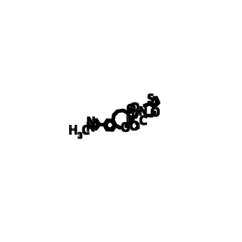 Cn1cc(-c2ccc3c(c2)CCCC(=O)N(CC(=O)N2Cc4sccc4OC[C@H]2C(F)(F)F)C(=O)OC3)cn1